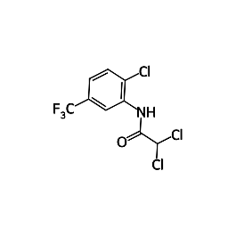 O=C(Nc1cc(C(F)(F)F)ccc1Cl)C(Cl)Cl